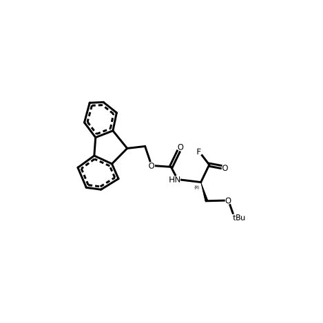 CC(C)(C)OC[C@@H](NC(=O)OCC1c2ccccc2-c2ccccc21)C(=O)F